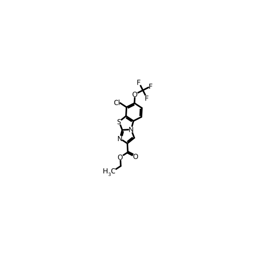 CCOC(=O)c1cn2c(n1)sc1c(Cl)c(OC(F)(F)F)ccc12